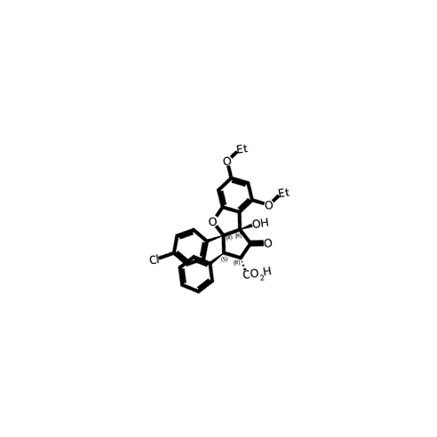 CCOc1cc(OCC)c2c(c1)O[C@@]1(c3ccc(Cl)cc3)[C@H](c3ccccc3)[C@@H](C(=O)O)C(=O)[C@@]21O